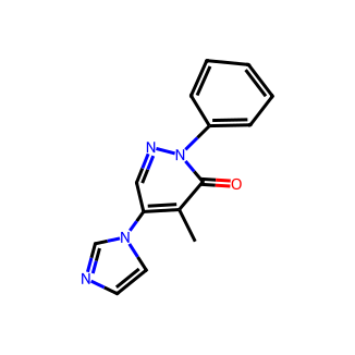 Cc1c(-n2ccnc2)cnn(-c2ccccc2)c1=O